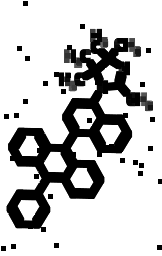 CC1=NC(C)(C)C(C)(C)N1c1ccc(-c2c3ccccc3c(-c3ccccc3)c3ccccc23)c2ccccc12